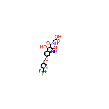 O=C(O)CNC(=O)c1c(O)c2ccc(OCc3ccc(C(F)(F)F)nc3)cc2[nH]c1=O